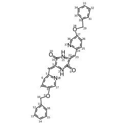 O=c1[nH]/c(=C\c2ccc(OCc3ccccc3)cn2)c(=O)[nH]/c1=C\c1ccc(OCc2ccccc2)cn1